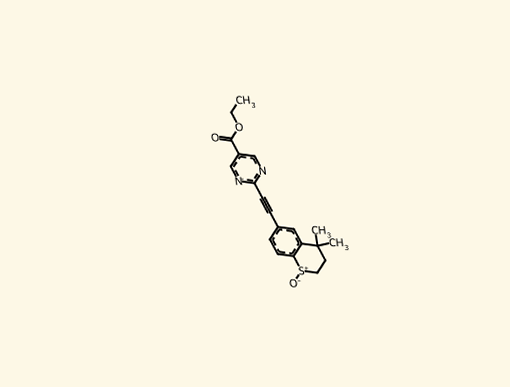 CCOC(=O)c1cnc(C#Cc2ccc3c(c2)C(C)(C)CC[S+]3[O-])nc1